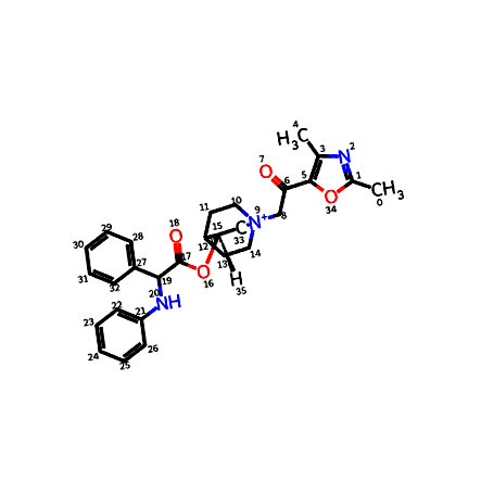 Cc1nc(C)c(C(=O)C[N+]23CCC(CC2)[C@@H](OC(=O)C(Nc2ccccc2)c2ccccc2)C3)o1